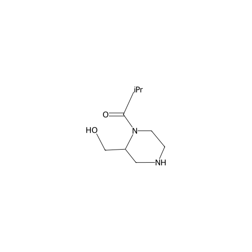 CC(C)C(=O)N1CCNCC1CO